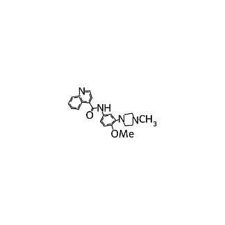 COc1ccc(NC(=O)c2ccnc3ccccc23)cc1N1CCN(C)CC1